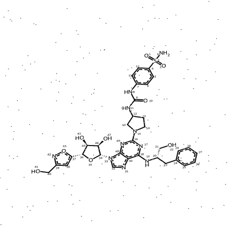 NS(=O)(=O)c1ccc(NC(=O)NC2CCN(c3nc(N[C@H](CO)Cc4ccccc4)c4ncn([C@@H]5O[C@H](c6cc(CO)no6)[C@@H](O)[C@H]5O)c4n3)C2)cc1